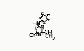 CNc1nc(Cl)nc(Nc2ccccc2)n1